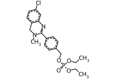 CCOP(=O)(OCC)OCc1ccc(C2=Nc3cc(Cl)ccc3CN2C)cc1